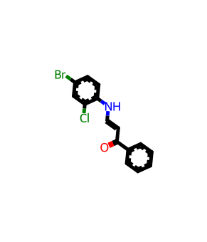 O=C(/C=C/Nc1ccc(Br)cc1Cl)c1ccccc1